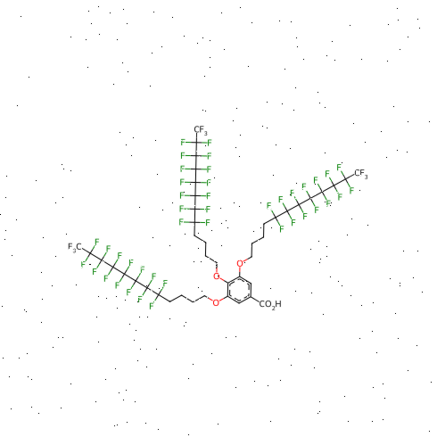 O=C(O)c1cc(OCCCCC(F)(F)C(F)(F)C(F)(F)C(F)(F)C(F)(F)C(F)(F)C(F)(F)C(F)(F)F)c(OCCCCC(F)(F)C(F)(F)C(F)(F)C(F)(F)C(F)(F)C(F)(F)C(F)(F)C(F)(F)F)c(OCCCCC(F)(F)C(F)(F)C(F)(F)C(F)(F)C(F)(F)C(F)(F)C(F)(F)C(F)(F)F)c1